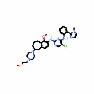 COCCN1CCN(C2CCCc3c(ccc(Nc4ncc(Cl)c(Nc5ccccc5-c5nccn5C)n4)c3OC)C2)CC1